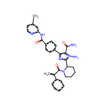 C=C(C(=O)N1CCCCC1c1nc(-c2ccc(C(=O)Nc3cc(C)ccn3)cc2)c(C(N)=O)n1N)c1ccccc1